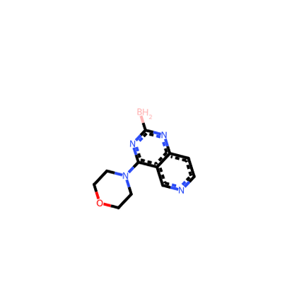 Bc1nc(N2CCOCC2)c2cnccc2n1